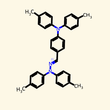 Cc1ccc(N(/N=C/c2ccc(N(c3ccc(C)cc3)c3ccc(C)cc3)cc2)c2ccc(C)cc2)cc1